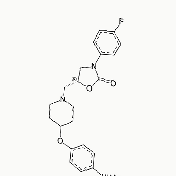 CC(=O)Nc1ccc(OC2CCN(C[C@@H]3CN(c4ccc(F)cc4)C(=O)O3)CC2)cc1